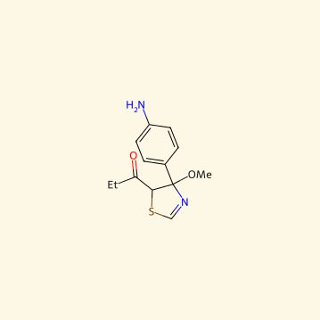 CCC(=O)C1SC=NC1(OC)c1ccc(N)cc1